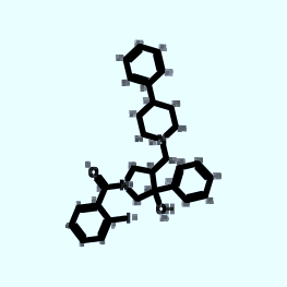 O=C(c1ccccc1I)N1CC(CN2CCC(c3ccccc3)CC2)C(O)(c2ccccc2)C1